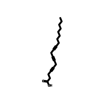 CCCCCCCCC#CCC#CCC#CCCC(=O)O